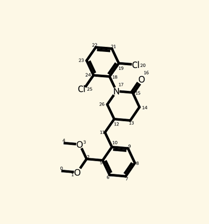 COC(OC)c1ccccc1CC1CCC(=O)N(c2c(Cl)cccc2Cl)C1